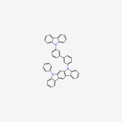 c1ccc(-n2c3ccccc3c3cc4c5ccccc5n(-c5cccc(-c6cccc(-n7c8ccccc8c8ccccc87)c6)c5)c4cc32)cc1